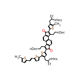 CCCCCCCCCCCCc1c(-c2cc(CC(CC)CCCCCC)c(C)s2)c(=O)c2ccc3c(ccc4c(=O)c(-c5cc(CC(CC)CCCCCC)c(-c6ccc(/C=C/c7ccc(C)s7)s6)s5)c(CCCCCCCCCCCC)c43)c12